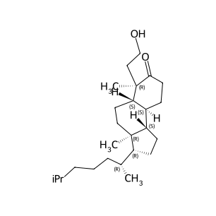 CC(C)CCC[C@@H](C)[C@H]1CC[C@H]2[C@@H]3CCC(=O)[C@](C)(CCO)[C@H]3CC[C@]12C